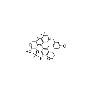 Cc1nc2c(c(-c3cc(F)c4c(c3C)CCCO4)c1[C@H](OC(C)(C)C)C(=O)O)CN(Cc1cccc(Cl)c1)CC2(C)C